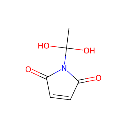 CC(O)(O)N1C(=O)C=CC1=O